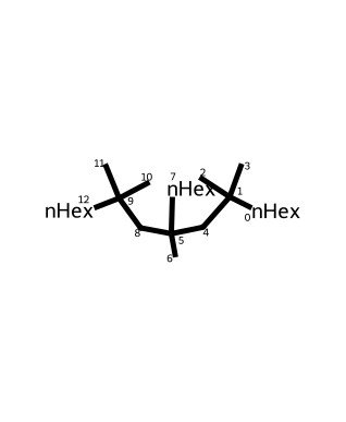 CCCCCCC(C)(C)CC(C)(CCCCCC)CC(C)(C)CCCCCC